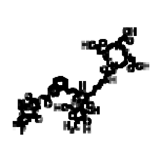 CC1O[C@@H](CO)[C@H](NC(=O)C(CCCCNC(=O)CN2CCN(CC(=O)O)CCN(CC(=O)O)CCN(CC(=O)O)CC2)NC(=O)CCc2cccc3c2CN(C(=O)C[C@@H]2C[C@@H](C(=O)N4CC(F)(F)C[C@H]4C#N)NC2=O)C3)[C@@H](O)[C@@H]1O